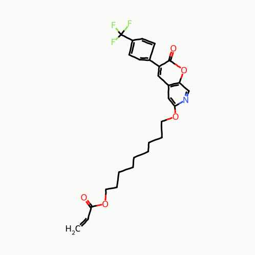 C=CC(=O)OCCCCCCCCCOc1cc2cc(-c3ccc(C(F)(F)F)cc3)c(=O)oc2cn1